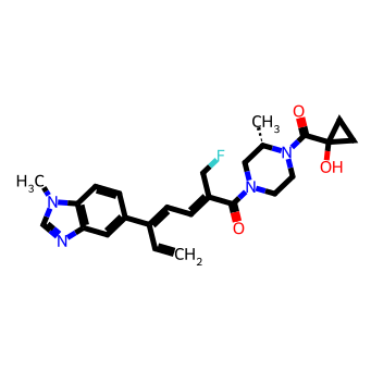 C=C/C(=C\C=C(/CF)C(=O)N1CCN(C(=O)C2(O)CC2)[C@@H](C)C1)c1ccc2c(c1)ncn2C